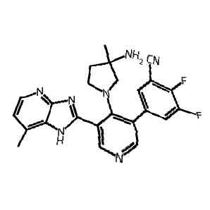 Cc1ccnc2nc(-c3cncc(-c4cc(F)c(F)c(C#N)c4)c3N3CCC(C)(N)C3)[nH]c12